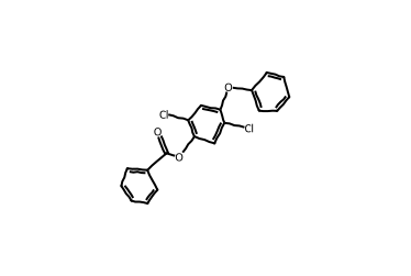 O=C(Oc1cc(Cl)c(Oc2ccccc2)cc1Cl)c1ccccc1